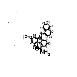 CC(C)c1cc(O)c2c3c(C(N)=O)cccc3n(Cc3cccc4ccccc34)c2c1